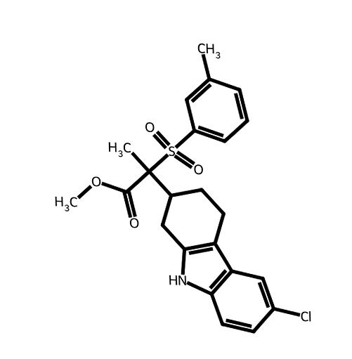 COC(=O)C(C)(C1CCc2c([nH]c3ccc(Cl)cc23)C1)S(=O)(=O)c1cccc(C)c1